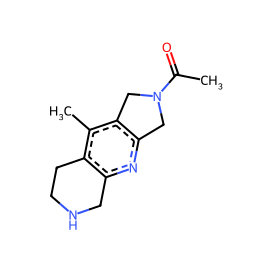 CC(=O)N1Cc2nc3c(c(C)c2C1)CCNC3